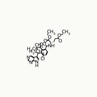 CCOC(=O)CC[C@H](NC(=O)c1ccc(Cl)c(C(C)c2c[nH]c3ncncc23)c1C(=O)C(C)(C)C)C(=O)OCC